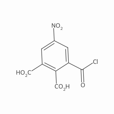 O=C(O)c1cc([N+](=O)[O-])cc(C(=O)Cl)c1C(=O)O